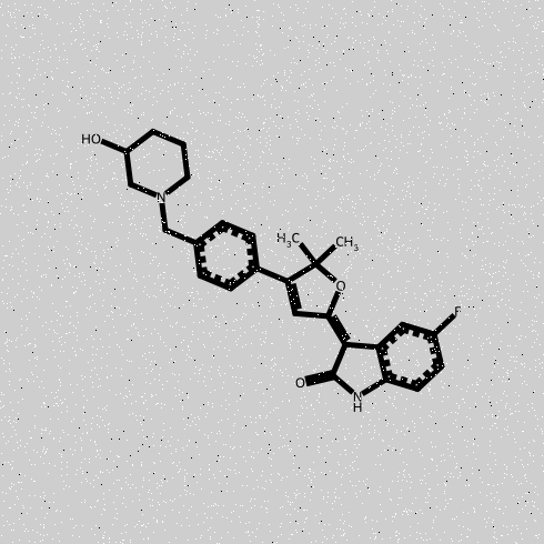 CC1(C)O/C(=C2/C(=O)Nc3ccc(F)cc32)C=C1c1ccc(CN2CCCC(O)C2)cc1